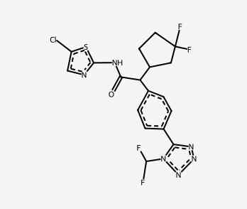 O=C(Nc1ncc(Cl)s1)C(c1ccc(-c2nnnn2C(F)F)cc1)C1CCC(F)(F)C1